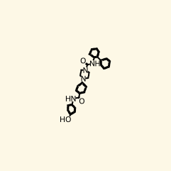 O=C(Nc1ccc(O)cc1)c1ccc(N2CCN(C(=O)Nc3ccccc3-c3ccccc3)CC2)cc1